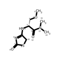 COC[C@@H](NC1=NC(=O)SC1)C(=O)N(C)C